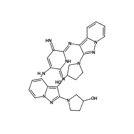 N=C1C=C(N)/C(=N\c2c(N3CCC(O)C3)nn3ccccc23)N/C1=N\c1c(N2CCC(O)C2)nn2ccccc12